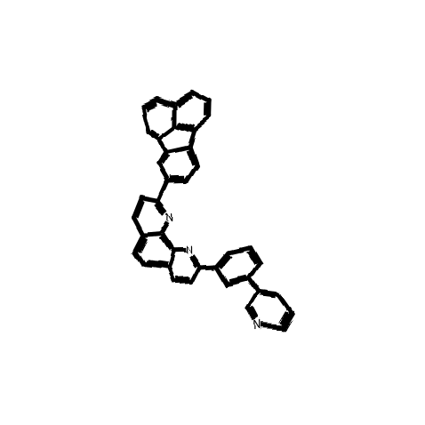 c1cncc(-c2cccc(-c3ccc4ccc5ccc(-c6ccc7c(c6)-c6cccc8cccc-7c68)nc5c4n3)c2)c1